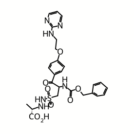 C[C@H](NNS(=O)(=O)CC(NC(=O)OCc1ccccc1)C(=O)c1ccc(OCCNc2ncccn2)cc1)C(=O)O